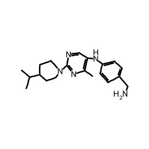 Cc1nc(N2CCC(C(C)C)CC2)ncc1Nc1ccc(CN)cc1